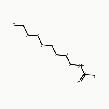 [CH2]C(=O)NCCCCCCCCC